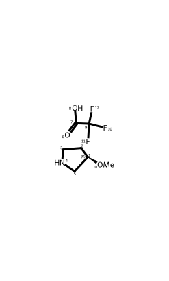 CO[C@@H]1CCNC1.O=C(O)C(F)(F)F